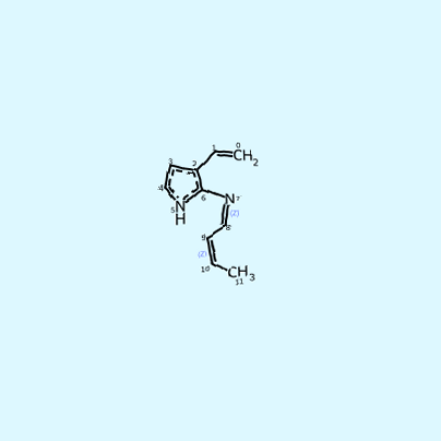 C=Cc1cc[nH]c1/N=C\C=C/C